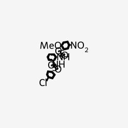 COc1ccc([N+](=O)[O-])cc1S(=O)(=O)Nc1ccccc1NS(=O)(=O)c1ccc(Cl)cc1